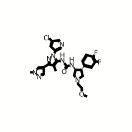 COCCN1C[C@@H](NC(=O)Nc2c(C)c(-c3cnn(C)c3)nn2-c2cncc(Cl)c2)[C@H](c2ccc(F)c(F)c2)C1